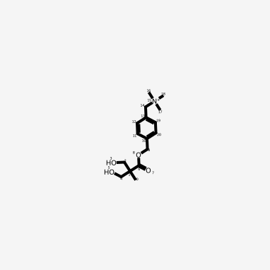 CC(CO)(CO)C(=O)OCc1ccc(C[N+](C)(C)C)cc1